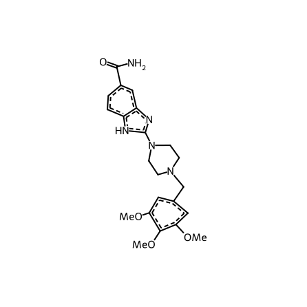 COc1cc(CN2CCN(c3nc4cc(C(N)=O)ccc4[nH]3)CC2)cc(OC)c1OC